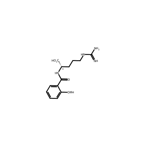 COc1ccccc1C(=O)N[C@@H](CCCNC(=N)N)C(=O)O